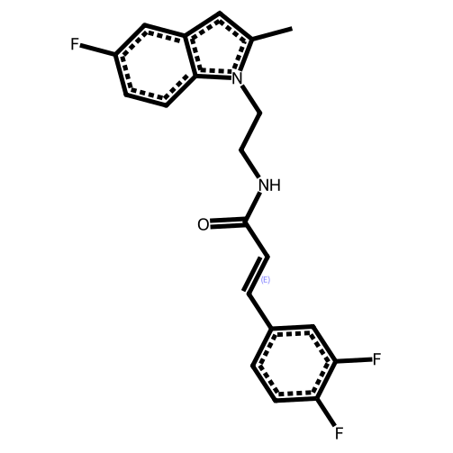 Cc1cc2cc(F)ccc2n1CCNC(=O)/C=C/c1ccc(F)c(F)c1